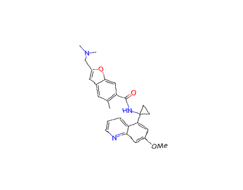 COc1cc(C2(NC(=O)c3cc4oc(CN(C)C)cc4cc3C)CC2)c2cccnc2c1